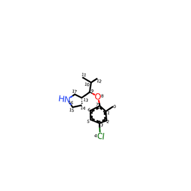 Cc1cc(Cl)ccc1O[C@H](C(C)C)[C@@H]1CCNC1